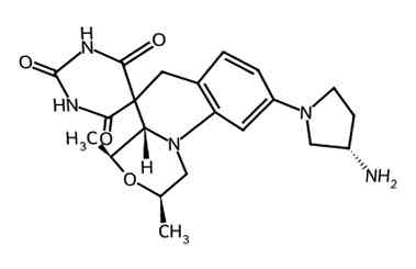 C[C@@H]1CN2c3cc(N4CC[C@H](N)C4)ccc3CC3(C(=O)NC(=O)NC3=O)[C@H]2[C@H](C)O1